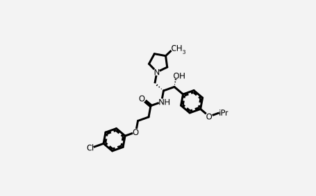 CC1CCN(C[C@@H](NC(=O)CCOc2ccc(Cl)cc2)[C@H](O)c2ccc(OC(C)C)cc2)C1